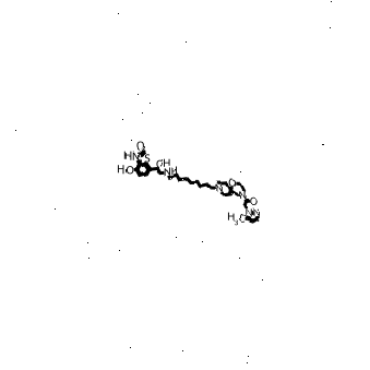 Cc1ccnn1CC(=O)N1CCOC2(CCN(CCCCCCCCCNC[C@H](O)c3ccc(O)c4[nH]c(=O)sc34)CC2)C1